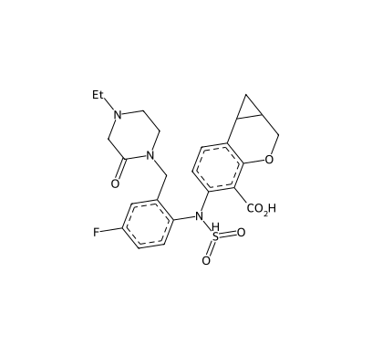 CCN1CCN(Cc2cc(F)ccc2N(c2ccc3c(c2C(=O)O)OCC2CC32)[SH](=O)=O)C(=O)C1